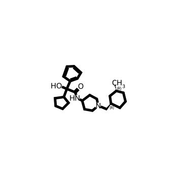 C[C@@H]1CCC[C@@H](CN2CCC(NC(=O)C(O)(c3ccccc3)C3CCCC3)CC2)C1